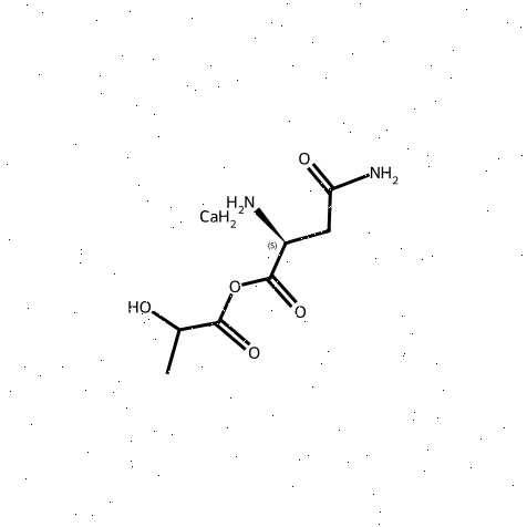 CC(O)C(=O)OC(=O)[C@@H](N)CC(N)=O.[CaH2]